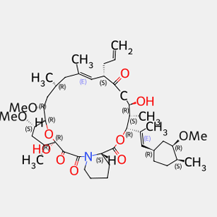 C=CC[C@H]1/C=C(\C)C[C@@H](C)C[C@@H](OC)[C@H]2O[C@@](O)(C(=O)C(=O)N3CCCC[C@H]3C(=O)O[C@@H](/C(C)=C/[C@@H]3CC[C@H](C)[C@H](OC)C3)[C@@H](C)[C@H](O)CC1=O)[C@H](C)C[C@@H]2OC